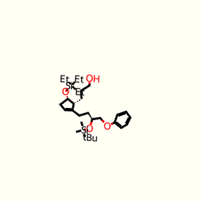 CC[Si](CC)(CC)O[C@H]1CC=C(CC[C@@H](COc2ccccc2)O[Si](C)(C)C(C)(C)C)[C@H]1CCCO